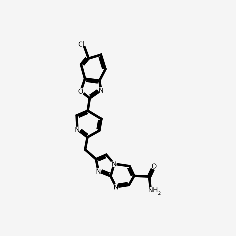 NC(=O)c1cnc2nc(Cc3ccc(-c4nc5ccc(Cl)cc5o4)cn3)cn2c1